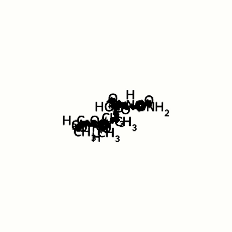 CC(=O)O[C@@H](C)C=CC(=O)N[C@@H]1C[C@H](C)[C@H](CC=C(C)C=C[C@H]2O[C@H](CC(=O)NCc3ccc(C(N)=O)cc3)C[C@@]3(CO3)[C@@H]2O)O[C@@H]1C